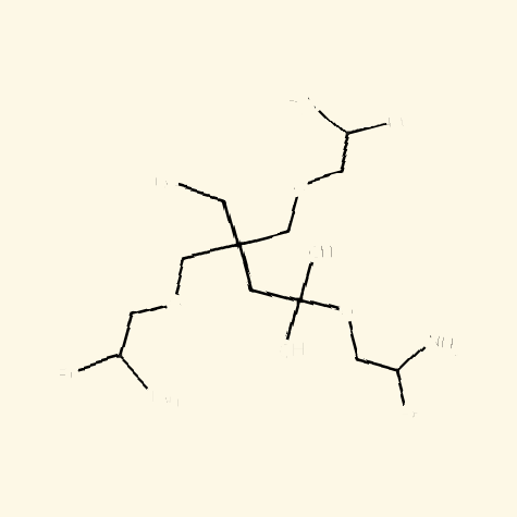 CCC(N)COCC(COCC(CC)C(C)(C)C)(CC(C)(C)C)CC(C)(C)OCC(N)CC